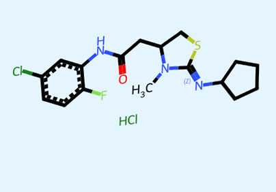 CN1/C(=N/C2CCCC2)SCC1CC(=O)Nc1cc(Cl)ccc1F.Cl